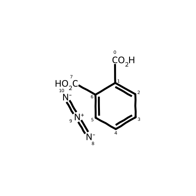 O=C(O)c1ccccc1C(=O)O.[N-]=[N+]=[N-]